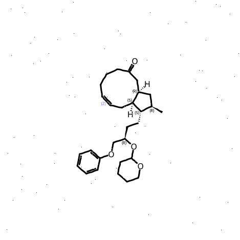 C[C@@H]1C[C@@H]2CC(=O)CCC/C=C\C[C@@H]2[C@H]1CC[C@H](COc1ccccc1)OC1CCCCO1